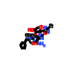 CCc1noc([C@]2(n3cnc4c(N)nc(N[C@H](CO)Cc5ccccc5)nc43)OC[C@H](O)[C@H]2OC=O)n1